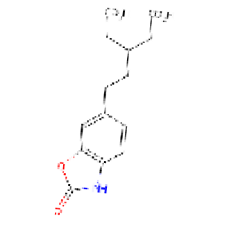 O=C(O)CC(CCc1ccc2[nH]c(=O)oc2c1)CC(=O)O